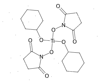 O=C1CCC(=O)N1[O][Ti]([O]C1CCCCC1)([O]C1CCCCC1)[O]N1C(=O)CCC1=O